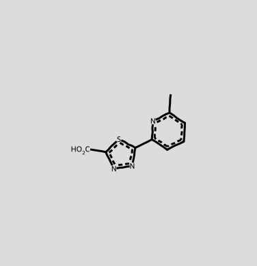 Cc1cccc(-c2nnc(C(=O)O)s2)n1